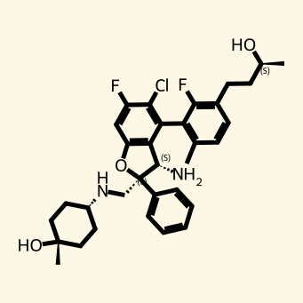 Cc1ccc(CC[C@H](C)O)c(F)c1-c1c(Cl)c(F)cc2c1[C@H](N)[C@@](CN[C@H]1CC[C@@](C)(O)CC1)(c1ccccc1)O2